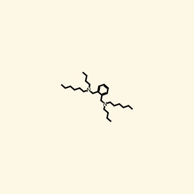 CCCCCCN(CCCC)Cc1ccccc1CN(CCCC)CCCCCC